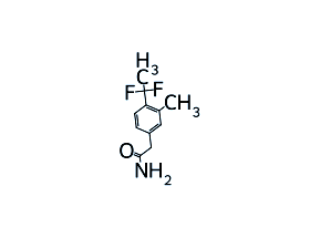 Cc1cc(CC(N)=O)ccc1C(C)(F)F